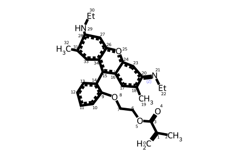 C=C(C)C(=O)OCCOc1ccccc1-c1c2cc(C)/c(=N\CC)cc-2oc2cc(NCC)c(C)cc12